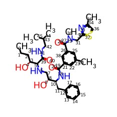 CCC[C@H](O)C(NC[C@@H](O)[C@H](Cc1ccccc1)NC(=O)c1cc(C)cc(C(=O)N(C)Cc2nc(C)cs2)c1)C(=O)NCC(C)C